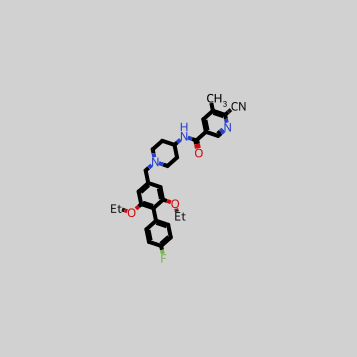 CCOc1cc(CN2CCC(NC(=O)c3cnc(C#N)c(C)c3)CC2)cc(OCC)c1-c1ccc(F)cc1